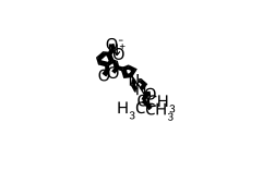 CC(C)(C)OC(=O)N1CCN([C@H]2C=C(c3cc4c([N+](=O)[O-])cccc4c(=O)o3)CC2)CC1